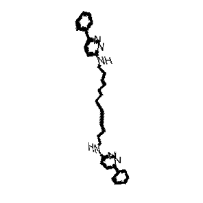 c1ccc(-c2ccc(NCCCCCCCCCCCCNc3ccc(-c4ccccc4)nn3)nn2)cc1